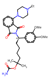 CCN1CCN(c2cccc3c2C(=O)N([C@H](CCCCC(C)(C)OC(N)=O)c2ccc(OC)c(OC)c2)C3=O)CC1